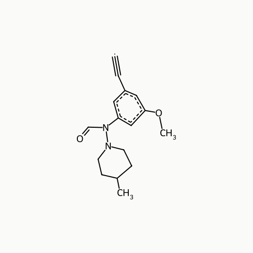 [C]#Cc1cc(OC)cc(N(C=O)N2CCC(C)CC2)c1